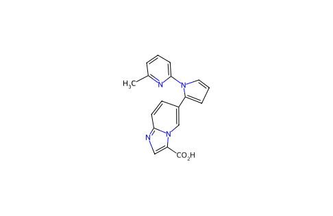 Cc1cccc(-n2cccc2-c2ccc3ncc(C(=O)O)n3c2)n1